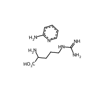 N=C(N)NCCCC(N)C(=O)O.Nc1ccccn1